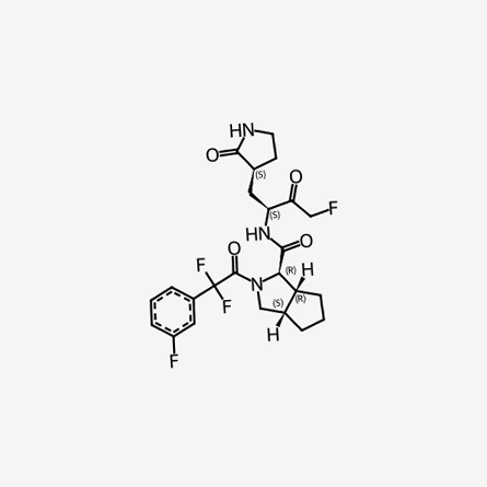 O=C1NCC[C@H]1C[C@H](NC(=O)[C@H]1[C@@H]2CCC[C@@H]2CN1C(=O)C(F)(F)c1cccc(F)c1)C(=O)CF